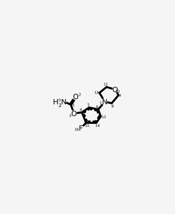 NC(=O)Oc1cc(N2CCOCC2)ccc1F